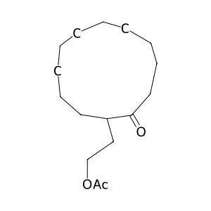 CC(=O)OCCC1CCCCCCCCCCC1=O